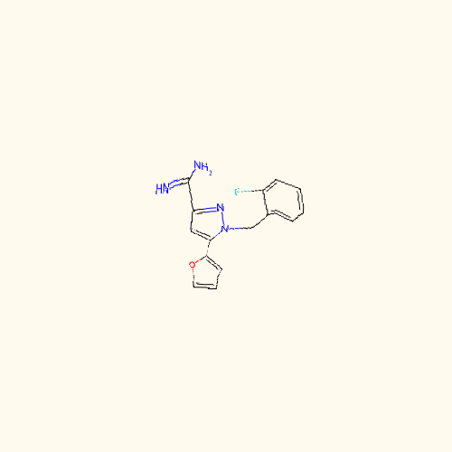 N=C(N)c1cc(-c2ccco2)n(Cc2ccccc2F)n1